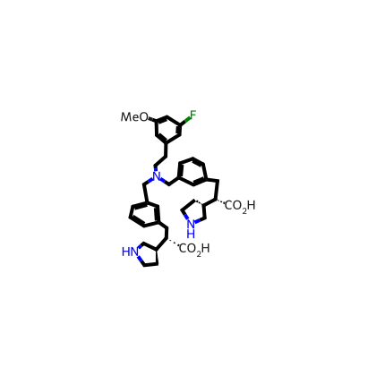 COc1cc(F)cc(CCN(Cc2cccc(C[C@H](C(=O)O)[C@H]3CCNC3)c2)Cc2cccc(C[C@H](C(=O)O)[C@H]3CCNC3)c2)c1